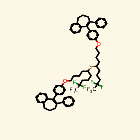 FC(F)(F)C(F)(F)CCCC(CCCCOc1ccc(C2=C(c3ccccc3)CCCc3ccccc32)cc1)SC(CCCCOc1ccc(C2=C(c3ccccc3)CCCc3ccccc32)cc1)CCCC(F)(F)C(F)(F)F